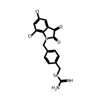 N=C(N)[Se]Cc1ccc(CN2C(=O)C(=O)c3cc(Cl)cc(Cl)c32)cc1